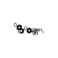 COc1ccc2c(Oc3ccc(N(C)S(N)(=O)=O)cc3)ccnc2c1